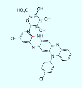 CC(COC1O[C@H](C(=O)O)[C@@H](O)[C@H](O)[C@H]1O)N=c1cc2n(-c3ccc(Cl)cc3)c3ccccc3nc-2cc1Nc1ccc(Cl)cc1